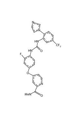 CNC(=O)c1cc(Oc2ccc(NC(=O)Nc3cc(C(F)(F)F)ccc3-n3ccnc3)c(F)c2)ccn1